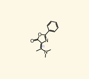 C/C(=C1/N=C(c2ccccc2)OC1=O)N(C)C